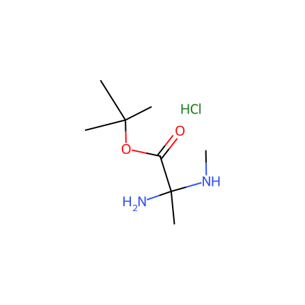 CNC(C)(N)C(=O)OC(C)(C)C.Cl